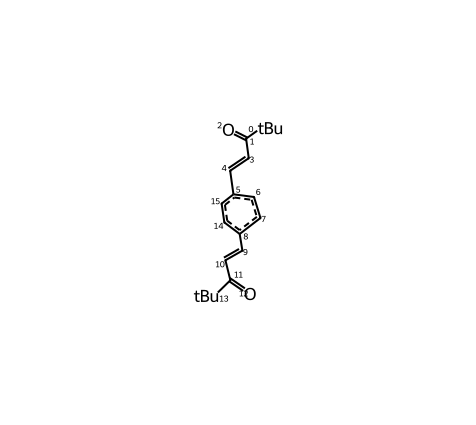 CC(C)(C)C(=O)C=Cc1ccc(C=CC(=O)C(C)(C)C)cc1